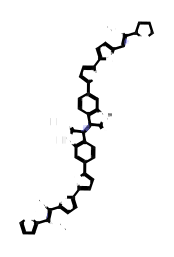 C=c1[nH]c2cc(-c3ccc(-c4ccc(/C(N)=C(\C#N)c5cccs5)s4)s3)ccc2/c1=c1\c(=C)n(C)c2cc(-c3ccc(-c4ccc(/C=C(\C#N)C5CCCS5)s4)s3)ccc12